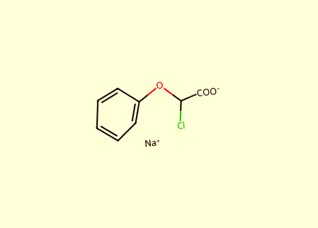 O=C([O-])C(Cl)Oc1ccccc1.[Na+]